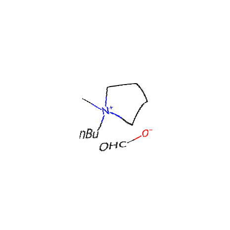 CCCC[N+]1(C)CCCC1.O=C[O-]